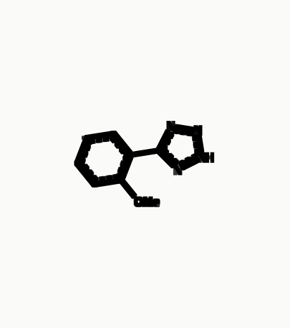 COc1cc[c]cc1-c1nn[nH]n1